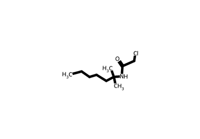 CCCCCC(C)(C)NC(=O)CCl